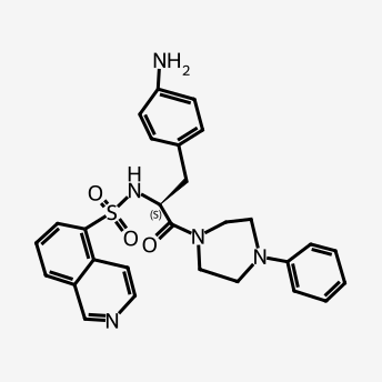 Nc1ccc(C[C@H](NS(=O)(=O)c2cccc3cnccc23)C(=O)N2CCN(c3ccccc3)CC2)cc1